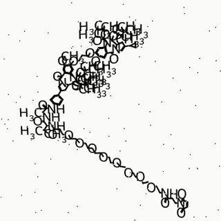 COc1cc2c(cc1OCCCOc1cc3c(cc1OC)C(=O)N1C=C(C4CC4)CC1C(O[Si](C)(C)C(C)(C)C)N3C(=O)OC(C)(C)C)N(C(=O)OC(C)(C)C)C(O[Si](C)(C)C(C)(C)C)C1CC(c3ccc(NC(=O)[C@H](C)NC(=O)[C@@H](NC(=O)CCOCCOCCOCCOCCOCCOCCOCCOCCNC(=O)CCN4C(=O)C=CC4=O)C(C)C)cc3)=CN1C2=O